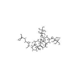 CC(=O)CCOC(C)[C@H]1CC[C@H]2C3=CC=C4C[C@@H](O[Si](C)(C)C(C)(C)C)C[C@H](O[Si](C)(C)C(C)(C)C)[C@]4(C)[C@H]3CC[C@]12C